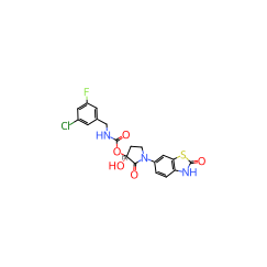 O=C(NCc1cc(F)cc(Cl)c1)O[C@@]1(O)CCN(c2ccc3[nH]c(=O)sc3c2)C1=O